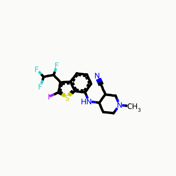 CN1CCC(Nc2cccc3c(C(F)C(F)F)c(I)sc23)C(C#N)C1